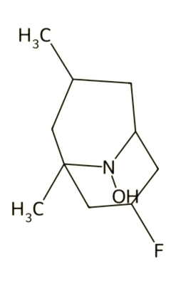 CC1CC2CC(F)CC(C)(C1)N2O